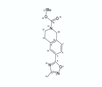 Cc1noc(-c2ccc3c(c2)CCN(C(=O)OC(C)(C)C)C3)n1